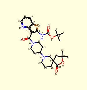 CC(C)(C)OC(=O)Nc1sc2cccnc2c1C(=O)N1CCC(N2CCCC3(C2)CC(C)(C)OC3=O)CC1